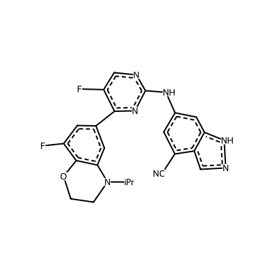 CC(C)N1CCOc2c(F)cc(-c3nc(Nc4cc(C#N)c5cn[nH]c5c4)ncc3F)cc21